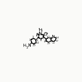 Nc1ccc(-c2cc(-c3ccc4cccnc4c3)c(=O)[nH]n2)cc1